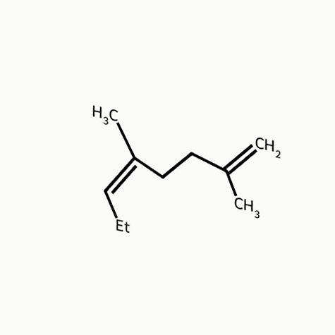 C=C(C)CCC(C)=CCC